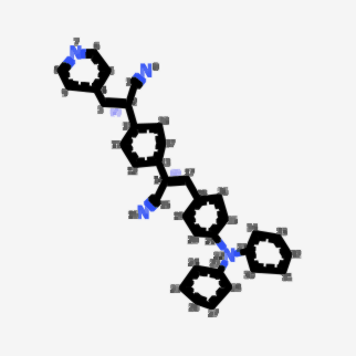 N#C/C(=C\c1ccncc1)c1ccc(/C(C#N)=C/c2ccc(N(c3ccccc3)c3ccccc3)cc2)cc1